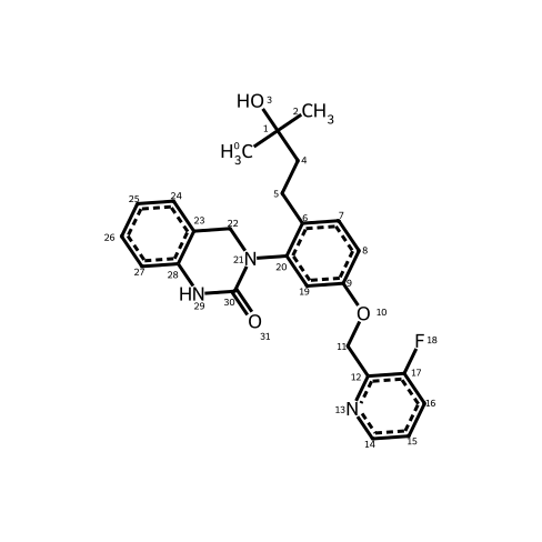 CC(C)(O)CCc1ccc(OCc2ncccc2F)cc1N1Cc2ccccc2NC1=O